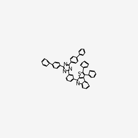 c1ccc(-c2ccc(-c3nc(-c4ccc(-c5ccccc5)cc4)nc(-c4cccc(-c5nc6ccccc6c6c(-c7ccccc7)c(-c7ccccc7)sc56)c4)n3)cc2)cc1